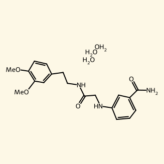 COc1ccc(CCNC(=O)CNc2cccc(C(N)=O)c2)cc1OC.O.O.O